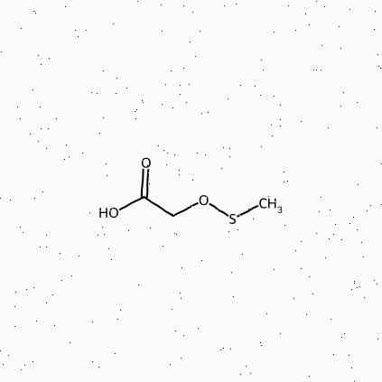 CSOCC(=O)O